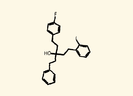 OC(CCc1ccccc1)(CCc1ccc(F)cc1)CCc1ccccc1I